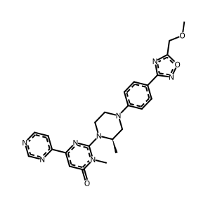 COCc1nc(-c2ccc(N3CCN(c4nc(-c5ccncn5)cc(=O)n4C)[C@H](C)C3)cc2)no1